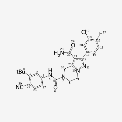 CC(C)(C)c1cc(NC(=O)N2CCn3nc(-c4ccc(F)c(Cl)c4)c(C(N)=O)c3C2)ccc1C#N